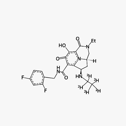 [2H]C([2H])([2H])C([2H])([2H])N[C@@H]1C[C@@H]2CN(CC)C(=O)c3c(O)c(=O)c(C(=O)NCc4ccc(F)cc4F)c1n32